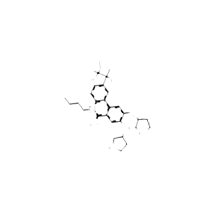 CCCCn1c(=O)c2cc(OC3CCOC3)c(OC3CCOC3)cc2c2cc(C(C)(O)C(F)(F)F)ccc21